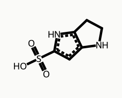 O=S(=O)(O)c1cc2c([nH]1)CCN2